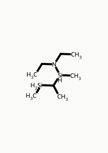 CCN(CC)[SiH](C)C(C)[SiH2]C